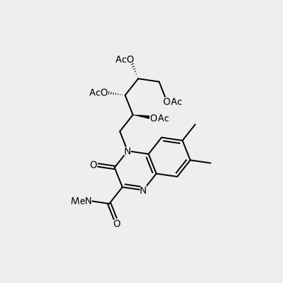 CNC(=O)c1nc2cc(C)c(C)cc2n(C[C@H](OC(C)=O)[C@H](OC(C)=O)[C@@H](COC(C)=O)OC(C)=O)c1=O